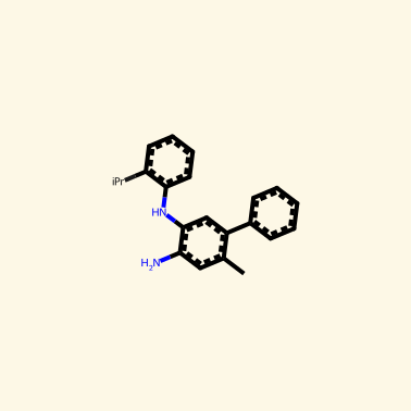 Cc1cc(N)c(Nc2ccccc2C(C)C)cc1-c1ccccc1